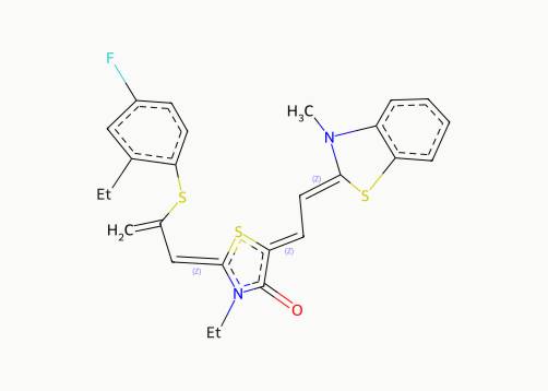 C=C(/C=c1\s/c(=C\C=C2/Sc3ccccc3N2C)c(=O)n1CC)Sc1ccc(F)cc1CC